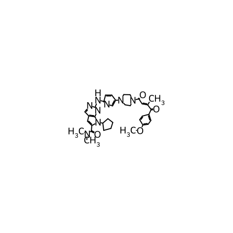 COc1ccc(C(=O)/C(C)=C/C(=O)N2CCN(c3ccc(Nc4ncc5cc(C(=O)N(C)C)n(C6CCCC6)c5n4)nc3)CC2)cc1